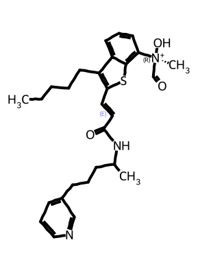 CCCCCc1c(/C=C/C(=O)NC(C)CCCc2cccnc2)sc2c([N@@+](C)(O)C=O)cccc12